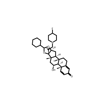 C[C@]12C=CC(=O)C=C1CC[C@H]1[C@@H]3C[C@@H]4OC(C5CCCCC5)O[C@@]4(C(=O)CN4CCC(F)CC4)[C@@]3(C)C[C@H](O)[C@@]12F